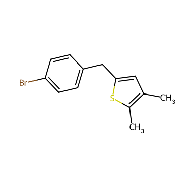 Cc1cc(Cc2ccc(Br)cc2)sc1C